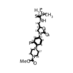 COC(=O)N1CCN(c2ccc(N3CC(CNC(=S)N(C)C)OC3=O)cc2F)CC1